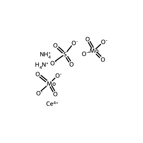 O=S(=O)([O-])[O-].[Ce+4].[NH4+].[NH4+].[O]=[Mo](=[O])([O-])[O-].[O]=[Mo](=[O])([O-])[O-]